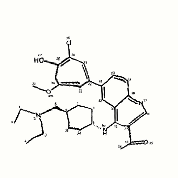 CCN(CC)C[C@H]1CC[C@H](Nc2c(C(C)=O)cnc3ccc(-c4cc(Cl)c(O)c(OC)c4)cc23)CC1